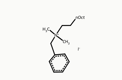 CCCCCCCCCC[N+](C)(C)Cc1ccccc1.[I-]